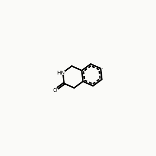 O=C1Cc2cc[c]cc2CN1